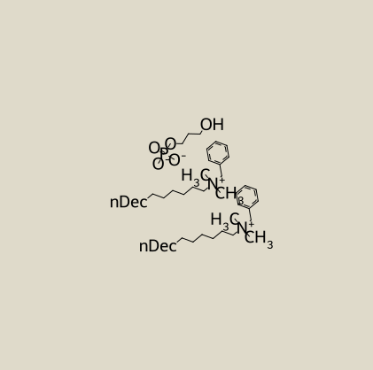 CCCCCCCCCCCCCCCC[N+](C)(C)Cc1ccccc1.CCCCCCCCCCCCCCCC[N+](C)(C)Cc1ccccc1.O=P([O-])([O-])OCCCO